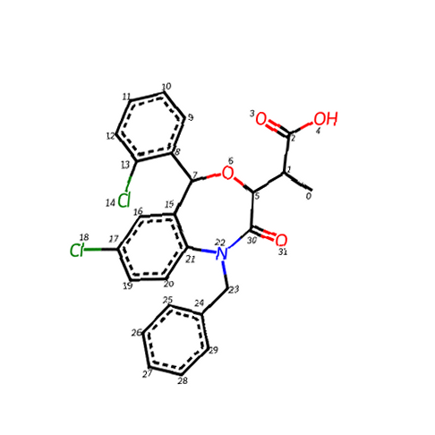 CC(C(=O)O)C1OC(c2ccccc2Cl)c2cc(Cl)ccc2N(Cc2ccccc2)C1=O